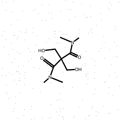 CN(C)C(=O)C(CO)(CO)C(=O)N(C)C